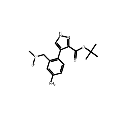 C[S+]([O-])Cc1cc(N)ccc1-c1c[nH]nc1C(=O)OC(C)(C)C